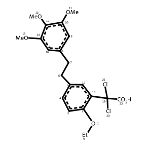 CCOc1ccc(CCc2cc(OC)c(OC)c(OC)c2)cc1C(Cl)(Cl)C(=O)O